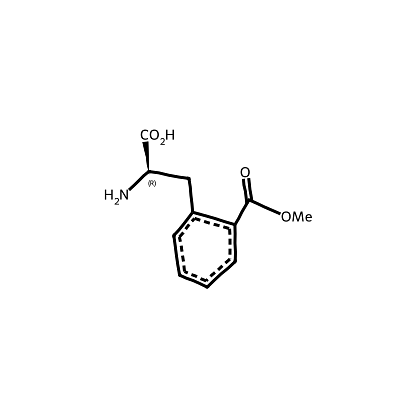 COC(=O)c1ccccc1C[C@@H](N)C(=O)O